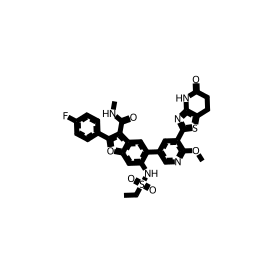 CCS(=O)(=O)Nc1cc2oc(-c3ccc(F)cc3)c(C(=O)NC)c2cc1-c1cnc(OC)c(-c2nc3c(s2)CCC(=O)N3)c1